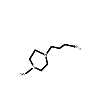 CCCN1CCN(CCCN)CC1